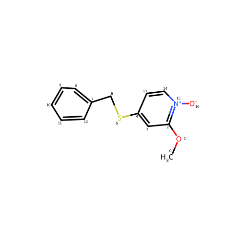 COc1cc(SCc2ccccc2)cc[n+]1[O-]